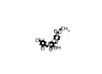 CCOC(=O)N1CCN(Cc2ccn(Cc3ccc(Cl)cc3Cl)c(=O)c2O)CC1